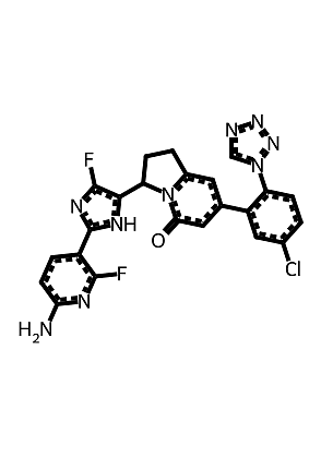 Nc1ccc(-c2nc(F)c(C3CCc4cc(-c5cc(Cl)ccc5-n5cnnn5)cc(=O)n43)[nH]2)c(F)n1